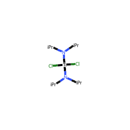 CC(C)[N](C(C)C)[Ti]([Cl])([Cl])[N](C(C)C)C(C)C